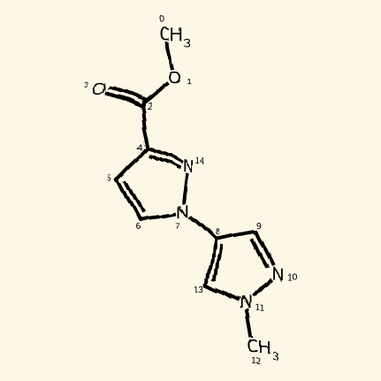 COC(=O)c1ccn(-c2cnn(C)c2)n1